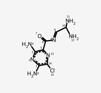 Nc1nc(N)c(C(=O)N=CC(N)N)nc1Cl